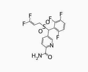 NC(=O)c1ccc(C(c2c(F)ccc(F)c2F)S(=O)(=O)CC=C(F)F)cn1